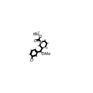 CO[C@H](c1cccc(Cl)c1)[C@@H]1CCCN(C(=O)OC(C)(C)C)C1